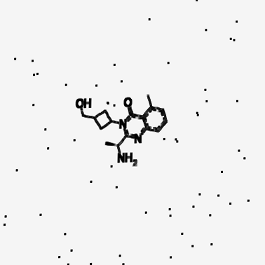 Cc1cccc2nc([C@H](C)N)n(C3CC(CO)C3)c(=O)c12